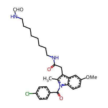 COc1ccc2c(c1)c(CC(=O)NCCCCCCCCNC=O)c(C)n2C(=O)c1ccc(Cl)cc1